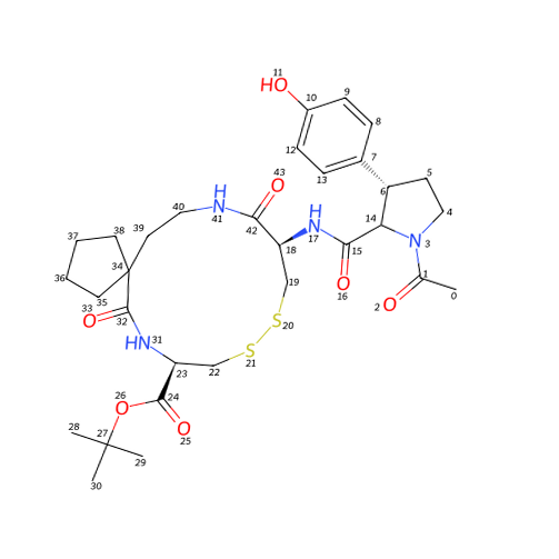 CC(=O)N1CC[C@@H](c2ccc(O)cc2)C1C(=O)N[C@H]1CSSC[C@@H](C(=O)OC(C)(C)C)NC(=O)C2(CCCC2)CCNC1=O